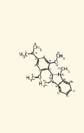 COc1cc(N(C)C)cc(OC)c1C1N(C)c2ccccc2N1C